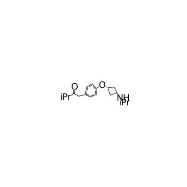 CC(C)N[C@H]1C[C@H](Oc2ccc(CC(=O)C(C)C)cc2)C1